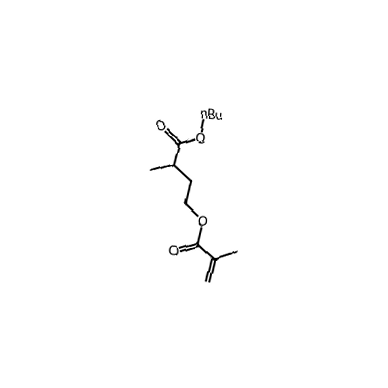 C=C(C)C(=O)OCCC(C)C(=O)OCCCC